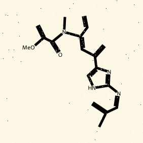 C=C/C(=C\C(=C)c1c[nH]c(/N=C\C(=C)C)n1)N(C)C(=O)C(=C)OC